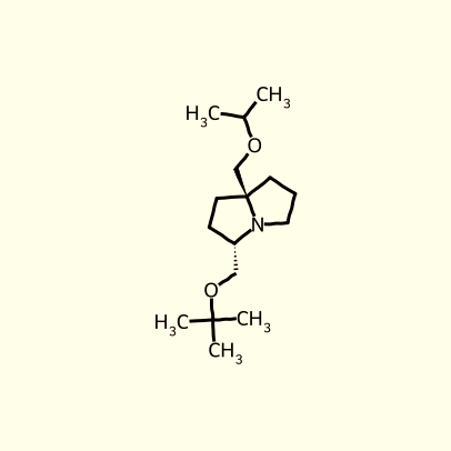 CC(C)OC[C@@]12CCCN1[C@H](COC(C)(C)C)CC2